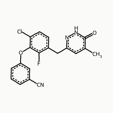 Cc1cc(Cc2ccc(Cl)c(Oc3cccc(C#N)c3)c2F)n[nH]c1=O